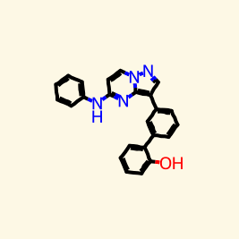 Oc1ccccc1-c1cccc(-c2cnn3ccc(Nc4ccccc4)nc23)c1